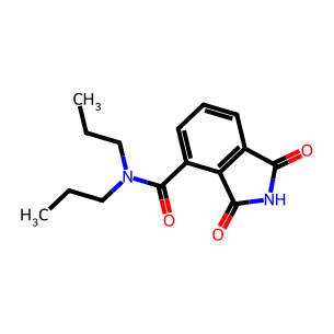 CCCN(CCC)C(=O)c1cccc2c1C(=O)NC2=O